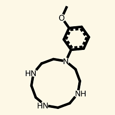 COc1cccc(N2CCNCCNCCNCC2)c1